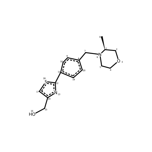 C[C@H]1COCCN1Cc1ccc(-c2nc(CO)cs2)cc1